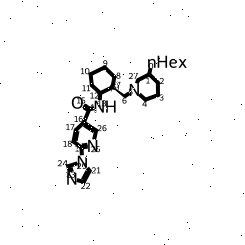 CCCCCCC1CCCN(C[C@@H]2CCCCC2NC(=O)c2ccc(-n3ccnc3)nc2)C1